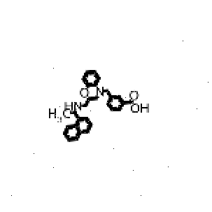 C[C@@H](NCC1CN(Cc2cccc(C(=O)O)c2)c2ccccc2O1)c1cccc2ccccc12